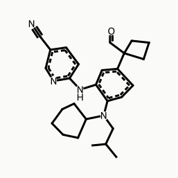 CC(C)CN(c1ccc(C2(C=O)CCC2)cc1Nc1ccc(C#N)cn1)C1CCCCC1